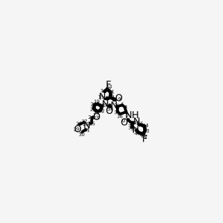 O=C(N[C@H]1CC[C@@H](n2c(=O)c3cc(F)cnc3n(-c3cccc(OCCN4CCOCC4)c3)c2=O)CC1)c1cn2cc(F)ccc2n1